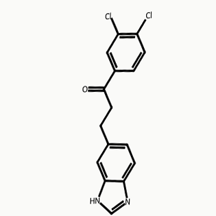 O=C(CCc1ccc2nc[nH]c2c1)c1ccc(Cl)c(Cl)c1